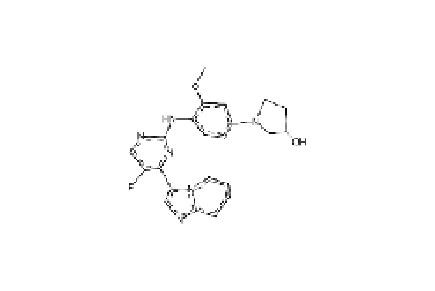 COc1cc(N2CC[C@H](O)C2)ccc1Nc1ncc(F)c(-c2cnc3ccccn23)n1